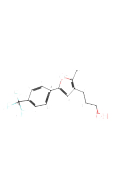 Cc1oc(-c2ccc(C(F)(F)F)cc2)cc1CCCO